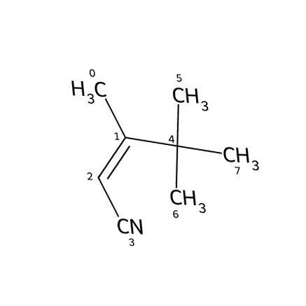 CC(=CC#N)C(C)(C)C